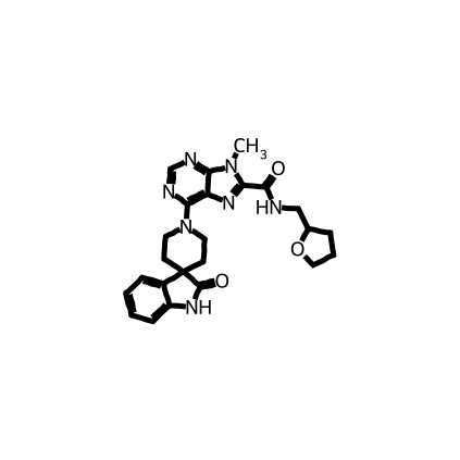 Cn1c(C(=O)NCC2CCCO2)nc2c(N3CCC4(CC3)C(=O)Nc3ccccc34)ncnc21